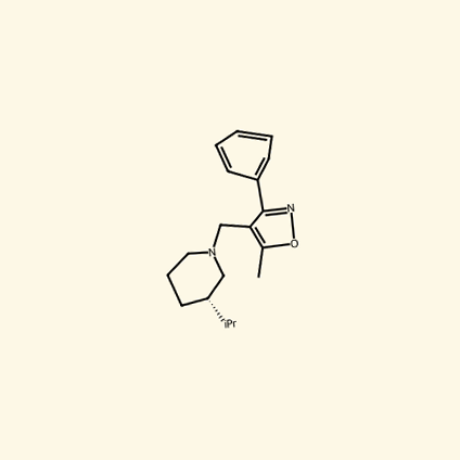 Cc1onc(-c2ccccc2)c1CN1CCC[C@@H](C(C)C)C1